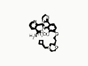 COc1c(OCCC2CN(CC3CCC3)CCO2)ccc2c1N=C(c1ncccc1C(N)=O)N1CCN=C21